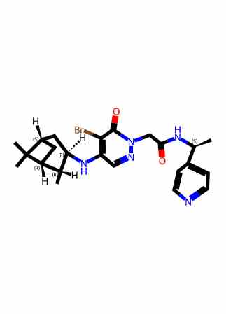 C[C@@H]1[C@H]2C[C@@H](C[C@H]1Nc1cnn(CC(=O)N[C@@H](C)c3ccncc3)c(=O)c1Br)C2(C)C